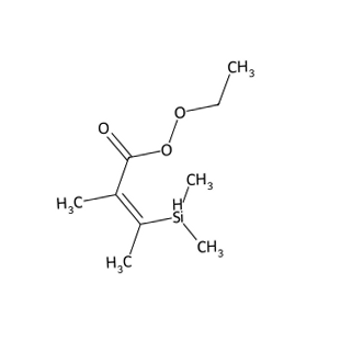 CCOOC(=O)C(C)=C(C)[SiH](C)C